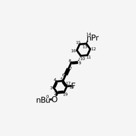 CCCCOc1ccc(C#CC=C[C@H]2CC[C@H](CCC)CC2)c(F)c1